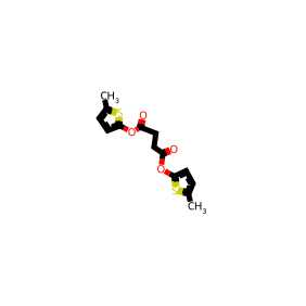 Cc1ccc(OC(=O)CCC(=O)Oc2ccc(C)s2)s1